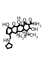 CN(C)C1C(O)C(C(N)=O)C(=O)[C@@]2(O)C(O)=C3C(=O)c4c(O)ccc(CNC5CCCC5)c4C[C@H]3C[C@@H]12